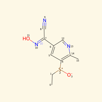 CC[S+]([O-])c1cc(/C(C#N)=N/O)cnc1C